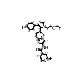 CCOCCn1cnc(-c2ccc(F)cc2)c1-c1ccc2nc(NC(=O)c3ccnc(F)c3)cn2n1